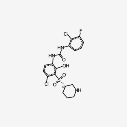 O=C(Nc1ccc(Cl)c(S(=O)(=O)[C@H]2CCCNC2)c1O)Nc1cccc(F)c1Cl